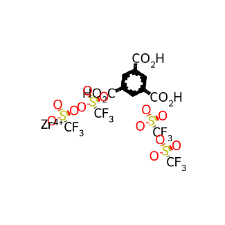 O=C(O)c1cc(C(=O)O)cc(C(=O)O)c1.O=S(=O)([O-])C(F)(F)F.O=S(=O)([O-])C(F)(F)F.O=S(=O)([O-])C(F)(F)F.O=S(=O)([O-])C(F)(F)F.[Zr+4]